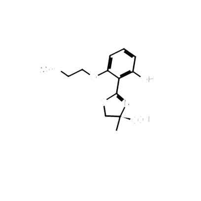 COCCOc1cccc(O)c1C1=N[C@@](C)(C(=O)O)CS1